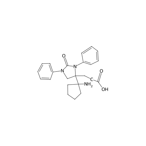 NC1(C2(CCC(=O)O)CN(c3ccccc3)C(=O)N2c2ccccc2)CCCC1